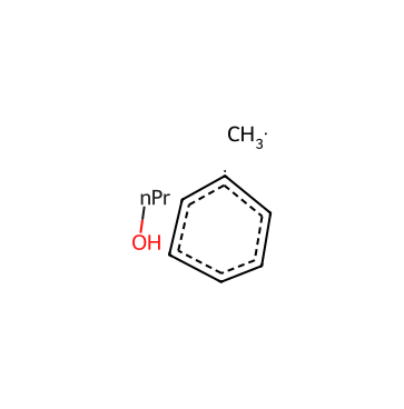 [CH2]CCO.[CH3].[c]1ccccc1